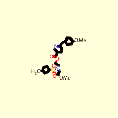 COC(=O)CN(CCOC(=O)c1ccc(Cc2ccc(OC)cc2)nc1)S(=O)(=O)c1ccc(C)cc1